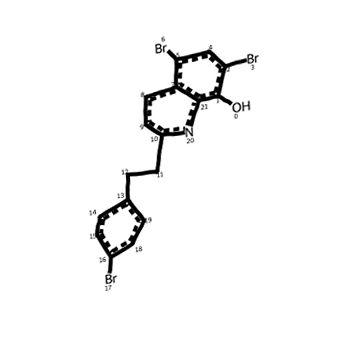 Oc1c(Br)cc(Br)c2ccc(CCc3ccc(Br)cc3)nc12